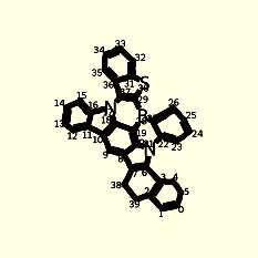 C1=CC2=C(CC1)c1c(c3cc4c5ccccc5n5c4c4c3n1-c1ccccc1B4c1sc3ccccc3c1-5)CC2